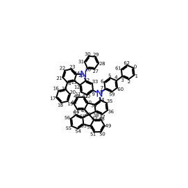 c1ccc(-c2ccc(N(c3ccc4c5c(-c6ccccc6)cccc5n(-c5ccccc5)c4c3)c3cccc4c3-c3ccccc3C43c4ccccc4-c4ccccc43)cc2)cc1